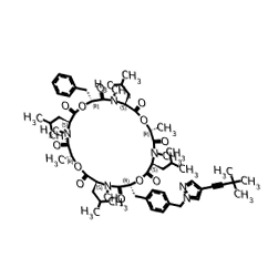 CC(C)C[C@H]1C(=O)O[C@H](Cc2ccc(Cn3cc(C#CC(C)(C)C)cn3)cc2)C(=O)N(C)[C@@H](CC(C)C)C(=O)O[C@H](C)C(=O)N(C)[C@@H](CC(C)C)C(=O)O[C@H](Cc2ccccc2)C(=O)N(C)[C@@H](CC(C)C)C(=O)O[C@H](C)C(=O)N1C